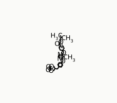 Cc1c(Oc2ccc(CC3COS(=O)(=O)OC3)cc2)ncnc1OC1CCN(C(=O)OCC(C)C)CC1